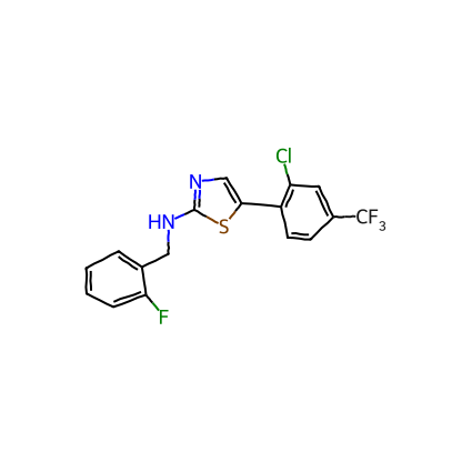 Fc1ccccc1CNc1ncc(-c2ccc(C(F)(F)F)cc2Cl)s1